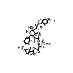 COCC(NC(=O)c1cnc(C)s1)C(=O)N[C@@H](COC)C(=O)NC(Cc1ccccc1)C(=O)[C@](C)(O)COS(=O)(=O)c1ccc(C(F)(F)F)cc1